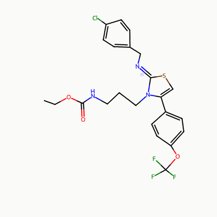 CCOC(=O)NCCCn1c(-c2ccc(OC(F)(F)F)cc2)cs/c1=N\Cc1ccc(Cl)cc1